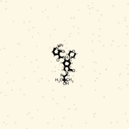 CC(C)n1cccc(C(=O)Nc2cc3c(cc2N2CCOCC2)C(=O)N(C[C@@H](F)C(C)(C)O)C3)c1=O